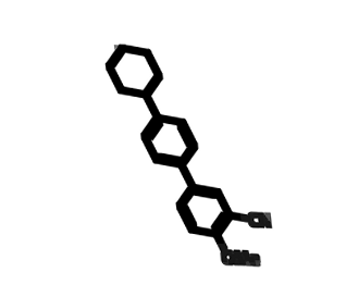 COc1ccc(-c2ccc(C3CC[CH]CC3)cc2)cc1C#N